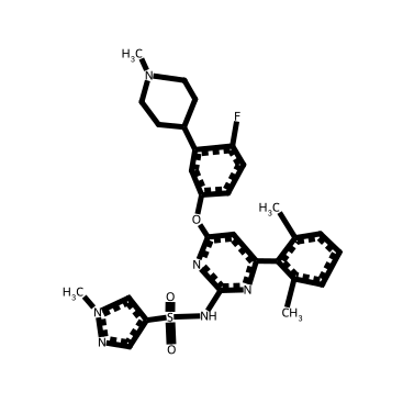 Cc1cccc(C)c1-c1cc(Oc2ccc(F)c(C3CCN(C)CC3)c2)nc(NS(=O)(=O)c2cnn(C)c2)n1